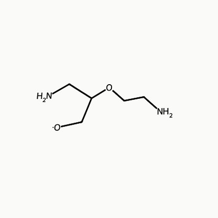 NCCOC(CN)C[O]